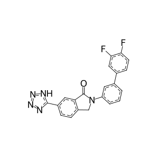 O=C1c2cc(-c3nnn[nH]3)ccc2CN1c1cccc(-c2ccc(F)c(F)c2)c1